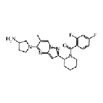 Cc1cn2nc(C3CCCCN3C(=O)c3ccc(F)cc3F)cc2nc1N1CCC(N)C1